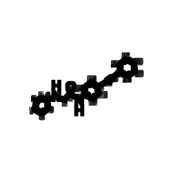 O=C(CNc1ccccc1)Nc1ccc(C#Cc2ccccc2)cc1